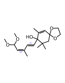 COC(/C=C(C)\C=C\C1(O)C(C)=CC2(CC1(C)C)OCCO2)OC